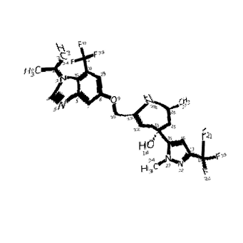 CC(C)n1cnc2cc(OC[C@@H]3C[C@](O)(c4cc(C(F)(F)F)nn4C)C[C@H](C)N3)cc(C(F)(F)F)c21